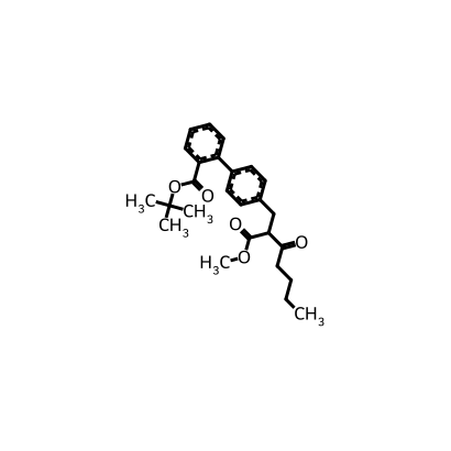 CCCCC(=O)C(Cc1ccc(-c2ccccc2C(=O)OC(C)(C)C)cc1)C(=O)OC